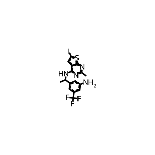 Cc1nc(NC(C)c2cc(N)cc(C(F)(F)F)c2)c2cc(I)sc2n1